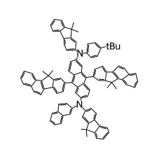 CC(C)(C)c1ccc(N(c2ccc3c(c2)C(C)(C)c2ccccc2-3)c2ccc3c(-c4ccc5c(c4)C(C)(C)c4c-5ccc5ccccc45)c4cc(N(c5ccc6c(c5)C(C)(C)c5ccccc5-6)c5ccc6ccccc6c5)ccc4c(-c4ccc5c(c4)C(C)(C)c4c-5ccc5ccccc45)c3c2)cc1